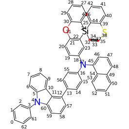 c1ccc(-n2c3ccccc3c3c(-c4ccc(N(c5ccc6c(c5)[Si]5(c7ccccc7O6)c6ccccc6Sc6ccccc65)c5cccc6ccccc56)cc4)cccc32)cc1